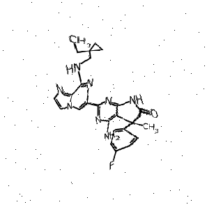 CCC1(CNc2nc(-c3nc(N)c4c(n3)NC(=O)C4(C)c3ccc(F)cc3)cn3ccnc23)CC1